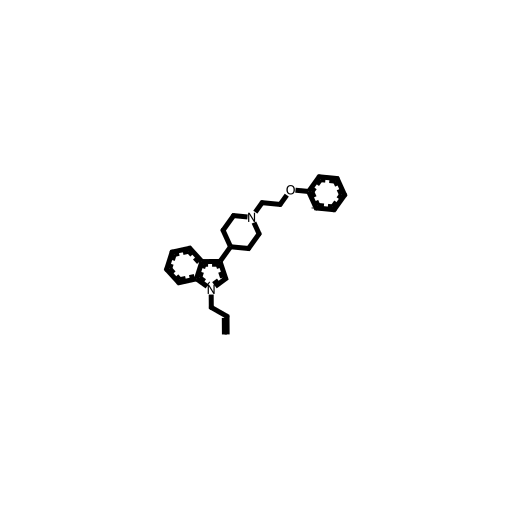 C=CCn1cc(C2CCN(CCOc3[c]cccc3)CC2)c2ccccc21